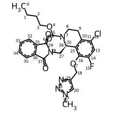 CCCCOC(=O)N1CCc2c(Cl)cc(F)c(OCc3cn(C)nn3)c2[C@H]1CN1C(=O)c2ccccc2C1=O